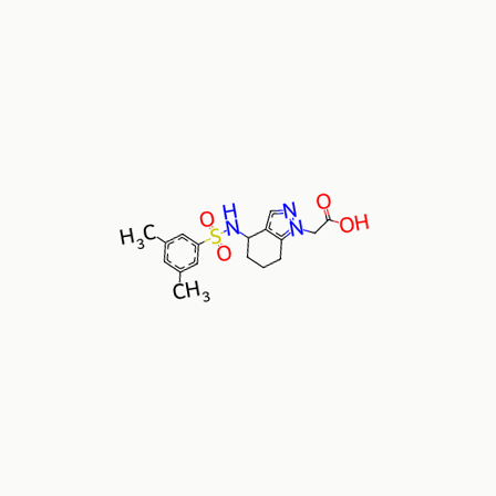 Cc1cc(C)cc(S(=O)(=O)NC2CCCc3c2cnn3CC(=O)O)c1